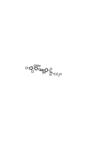 COc1cc(OCC(Nc2ccc(C(=O)NCCC(=O)O)cc2)C(C)C)ccc1-c1ccc(Cl)cc1Cl